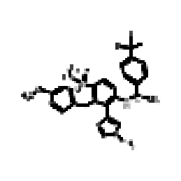 CNS(=O)(=O)c1ccc(N[C@H](C)c2ccc(C(F)(F)F)cc2)c(-c2cn(C)cn2)c1Cc1ccc(OC)cc1